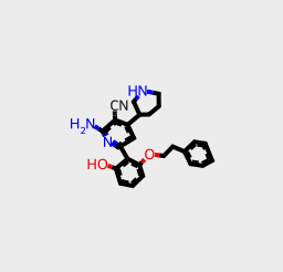 N#Cc1c(C2CCCNC2)cc(-c2c(O)cccc2OCCc2ccccc2)nc1N